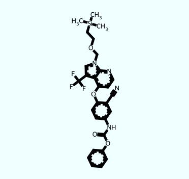 C[Si](C)(C)CCOCn1cc(C(F)(F)F)c2c(Oc3ccc(NC(=O)Oc4ccccc4)cc3C#N)ccnc21